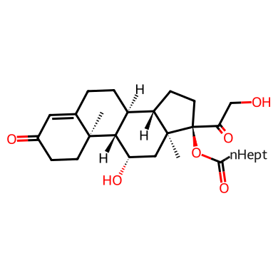 CCCCCCCC(=O)O[C@]1(C(=O)CO)CC[C@H]2[C@@H]3CCC4=CC(=O)CC[C@]4(C)[C@H]3[C@@H](O)C[C@@]21C